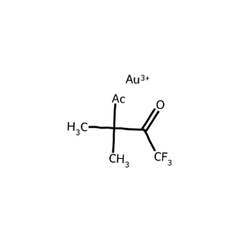 CC(=O)C(C)(C)C(=O)C(F)(F)F.[Au+3]